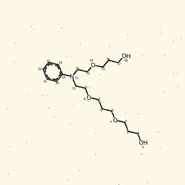 OCCCOCCCOCCN(CCOCCCO)c1ccccc1